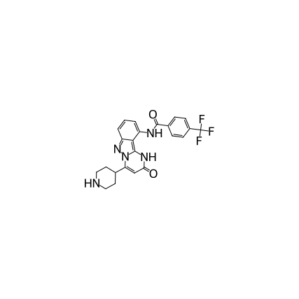 O=C(Nc1cccc2nn3c(C4CCNCC4)cc(=O)[nH]c3c12)c1ccc(C(F)(F)F)cc1